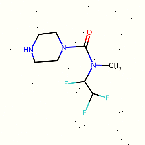 CN(C(=O)N1CCNCC1)C(F)C(F)F